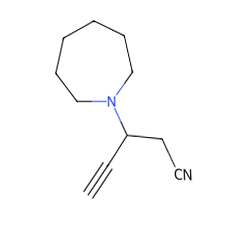 C#CC(CC#N)N1CCCCCC1